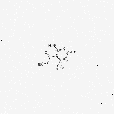 CC(C)(C)OC(=O)c1c(N)cc(Br)cc1C(=O)O